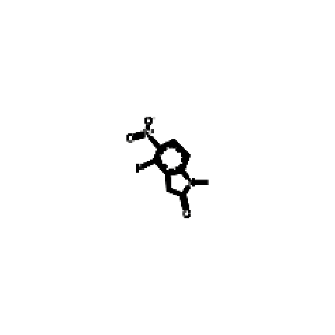 CN1C(=O)Cc2c1ccc([N+](=O)[O-])c2F